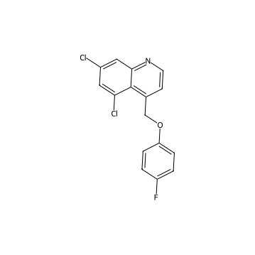 Fc1ccc(OCc2ccnc3cc(Cl)cc(Cl)c23)cc1